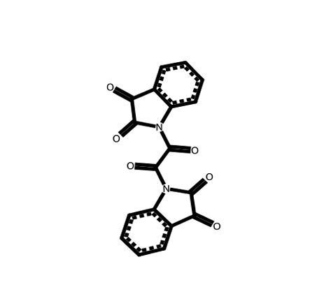 O=C1C(=O)N(C(=O)C(=O)N2C(=O)C(=O)c3ccccc32)c2ccccc21